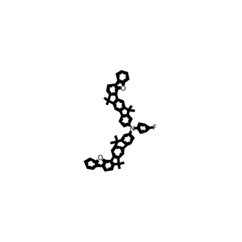 CC1(C)c2cc(N(c3ccc(F)cc3)c3ccc4c(c3)C(C)(C)c3cc5c(cc3-4)C(C)(C)c3ccc4c(oc6ccccc64)c3-5)ccc2-c2cc3c(cc21)-c1c(ccc2c1oc1ccccc12)C3(C)C